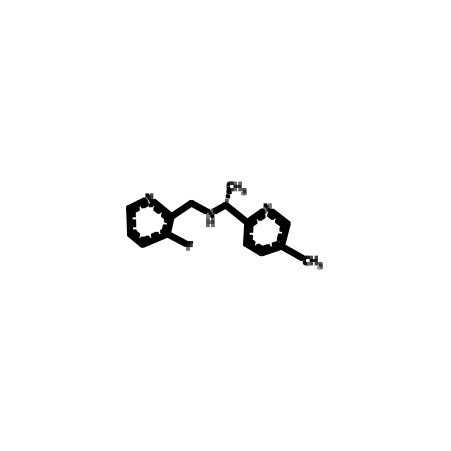 Cc1ccc([C@@H](C)NCc2ncccc2F)nc1